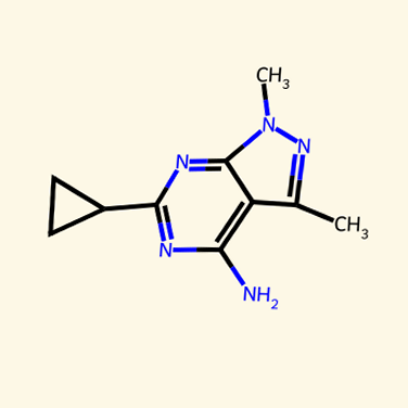 Cc1nn(C)c2nc(C3CC3)nc(N)c12